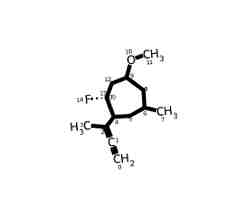 C=C=C(C)C1CC(C)CC(OC)C[C@H]1F